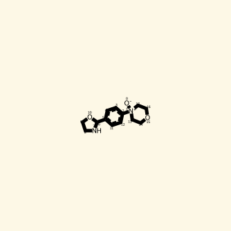 [O-][N+]1(c2ccc(C3NCCO3)cc2)CCOCC1